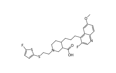 COc1ccc2ncc(F)c(CCCC3CCN(CCSc4ccc(F)s4)CC3C(=O)O)c2c1